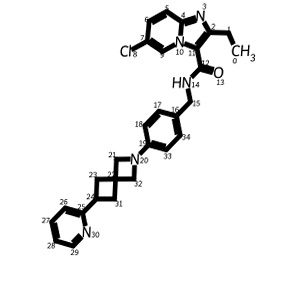 CCc1nc2ccc(Cl)cn2c1C(=O)NCc1ccc(N2CC3(CC(c4ccccn4)C3)C2)cc1